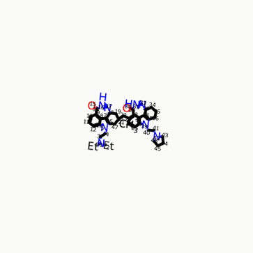 CCN(CC)CCn1c2c3c4c(cccc41)C(=O)NN=C3CC(C)(Cc1ccc3c4c1C(=O)NN=C1CCCc(c41)n3CCN1CCCC1)C2